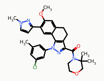 COc1cc2c(cc1-c1ccn(C)n1)-c1c(c(C(=O)N3CCOCC3(C)C)nn1-c1cc(C)cc(Cl)c1)CC2